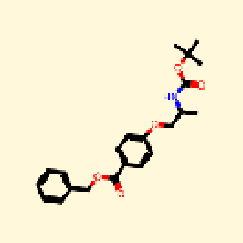 CC(COc1ccc(C(=O)OCc2ccccc2)cc1)NC(=O)OC(C)(C)C